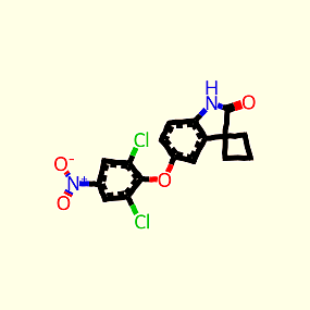 O=C1Nc2ccc(Oc3c(Cl)cc([N+](=O)[O-])cc3Cl)cc2C12CCC2